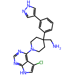 NCC1(c2cccc(-c3cn[nH]c3)c2)CCN(c2ncnc3[nH]cc(Cl)c23)CC1